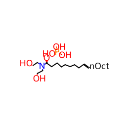 CCCCCCCCC=CCCCCCCCC(=O)N(CCO)CCO.OP(O)O